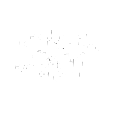 C=C1C(=O)[C@@]23[C@@H]4OC(C)(C)OC25OC[C@]2([C@H](O)[C@@H](N)C[C@@](C)(CC)[C@H]2[C@@H]5O)[C@@H]3CC[C@@H]14